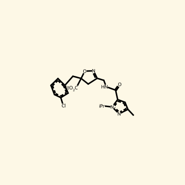 CCOC(=O)C1(Cc2cccc(Cl)c2)CC(CNC(=O)c2cc(C)nn2C(C)C)=NO1